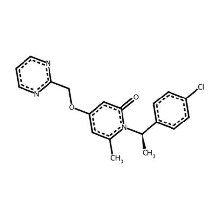 Cc1cc(OCc2ncccn2)cc(=O)n1[C@H](C)c1ccc(Cl)cc1